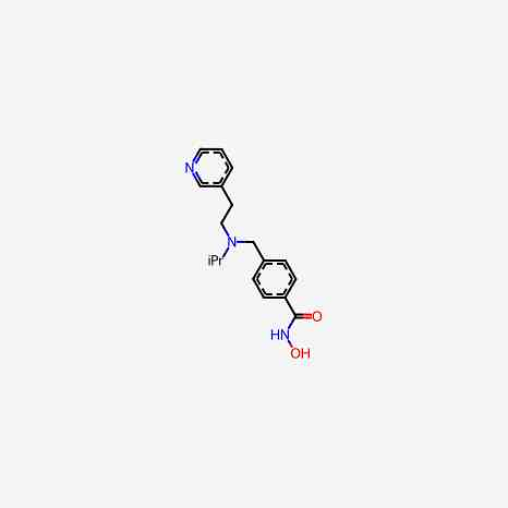 CC(C)N(CCc1cccnc1)Cc1ccc(C(=O)NO)cc1